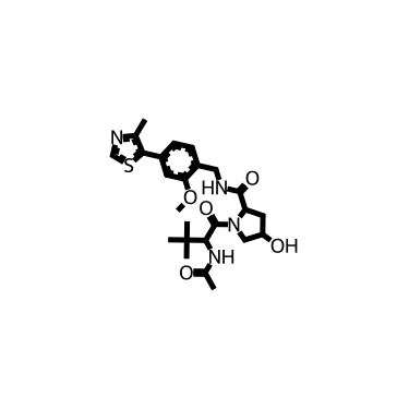 COc1cc(-c2scnc2C)ccc1CNC(=O)C1CC(O)CN1C(=O)C(NC(C)=O)C(C)(C)C